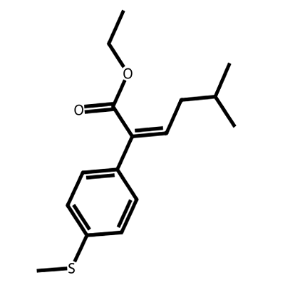 CCOC(=O)C(=CCC(C)C)c1ccc(SC)cc1